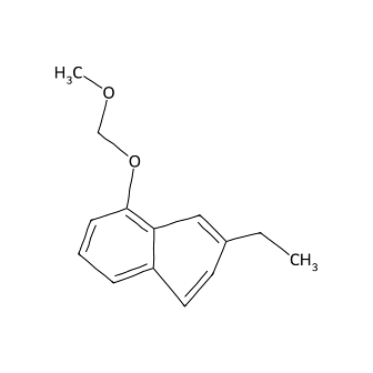 CCc1ccc2cccc(OCOC)c2c1